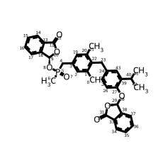 Cc1cc(CP(C)(=O)O[C@@H]2OC(=O)c3ccccc32)cc(C)c1Cc1ccc(OC2OC(=O)c3ccccc32)c(C(C)C)c1